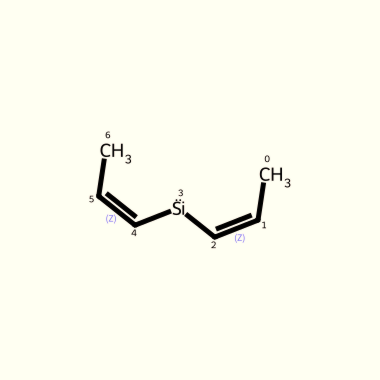 C/C=C\[Si]/C=C\C